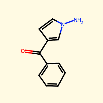 Nn1ccc(C(=O)c2ccccc2)c1